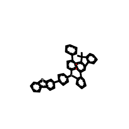 CC1(C)c2ccccc2-c2cc(-c3ccccc3N(c3ccc(-c4ccccc4)cc3)c3ccc(-c4ccc5c(c4)oc4ccccc45)cc3)ccc21